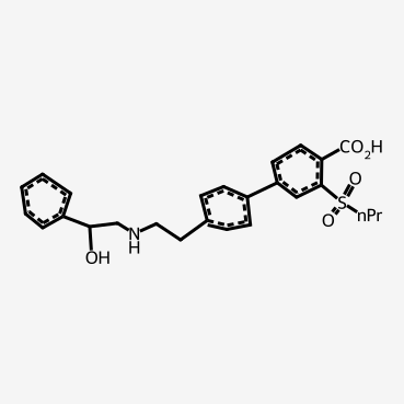 CCCS(=O)(=O)c1cc(-c2ccc(CCNCC(O)c3ccccc3)cc2)ccc1C(=O)O